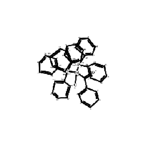 O=[C](c1ccccc1)[Pd]([Cl])([PH](c1ccccc1)(c1ccccc1)c1ccccc1)[PH](c1ccccc1)(c1ccccc1)c1ccccc1